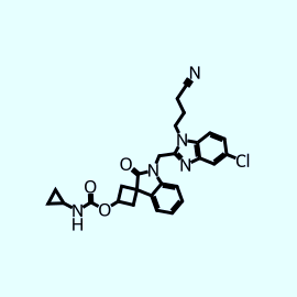 N#CCCCn1c(CN2C(=O)C3(CC(OC(=O)NC4CC4)C3)c3ccccc32)nc2cc(Cl)ccc21